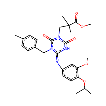 COC(=O)C(C)(C)Cn1c(=O)[nH]/c(=N\c2ccc(OC(C)C)c(OC)c2)n(Cc2ccc(C)cc2)c1=O